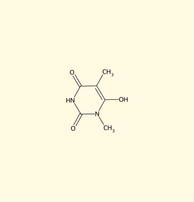 Cc1c(O)n(C)c(=O)[nH]c1=O